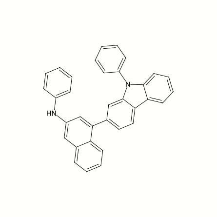 c1ccc(Nc2cc(-c3ccc4c5ccccc5n(-c5ccccc5)c4c3)c3ccccc3c2)cc1